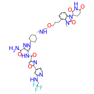 Cn1c(=O)n(C2CCC(=O)NC2=O)c2cccc(CCCOCCNC[C@H]3CC[C@H](n4cc(NC(=O)c5coc(-c6ccnc(NCC(F)(F)F)c6)n5)c(C(N)=O)n4)CC3)c21